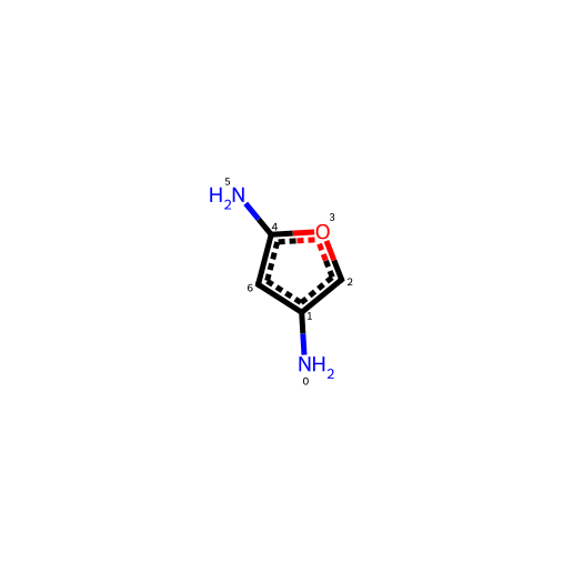 Nc1coc(N)c1